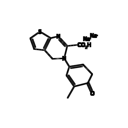 CC1=CC(N2Cc3ccsc3N=C2C(=O)O)=CCC1=O.[Na].[Na]